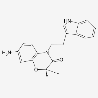 Nc1ccc2c(c1)OC(F)(F)C(=O)N2CCc1c[nH]c2ccccc12